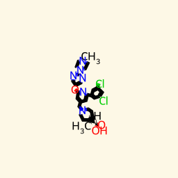 CN1CCN(c2ncc(Oc3cc(CN4CC[C@H]5[C@H](C(=O)O)C5(C)CC4)cc(-c4cc(Cl)cc(Cl)c4)n3)cn2)CC1